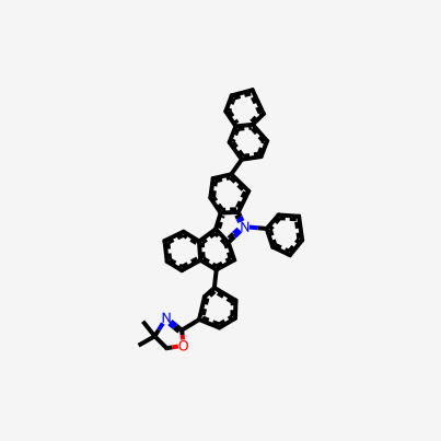 CC1(C)COC(c2cccc(-c3cc4c(c5ccccc35)c3ccc(-c5ccc6ccccc6c5)cc3n4-c3ccccc3)c2)=N1